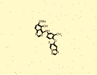 COc1ccc2ncnc(Nc3ccc(Oc4cc5ncnn5cc4F)c(C)c3)c2c1O